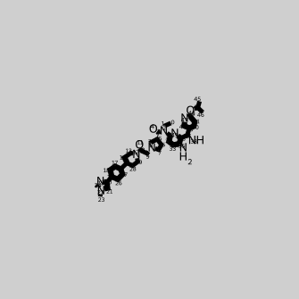 CCN(C(=O)[C@@H]1CCN(CC(=O)N2CC=C(c3ccc(-c4cn(C)cn4)cc3)CC2)C1)c1ccc(N)c(C(=N)c2ccc(OC(C)C)nc2)n1